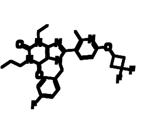 CCCn1c(=O)c2c(nc(-c3ccc(OC4CC(F)(F)C4)nc3C)n2Cc2ccc(F)cc2)n(CC)c1=O